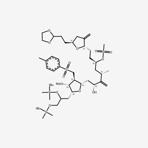 C=C1C[C@H](CCC2OCCO2)O[C@H]1CC[C@H](C[C@H](C)C(=C)[C@H](O)C[C@@H]1O[C@H](CC(CO[Si](C)(C)C(C)(C)C)O[Si](C)(C)C(C)(C)C)[C@H](OC)[C@H]1CS(=O)(=O)c1ccc(C)cc1)OS(C)(=O)=O